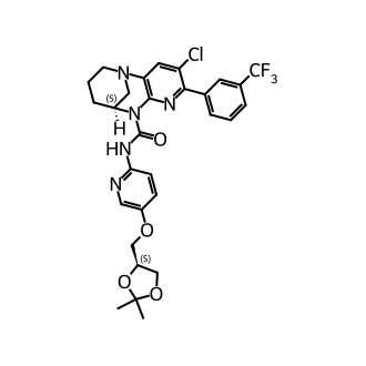 CC1(C)OC[C@H](COc2ccc(NC(=O)N3c4nc(-c5cccc(C(F)(F)F)c5)c(Cl)cc4N4CCC[C@H]3C4)nc2)O1